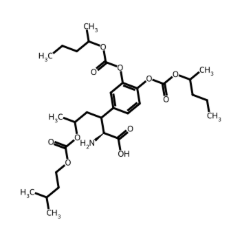 CCCC(C)OC(=O)Oc1ccc(C(CC(C)OC(=O)OCCC(C)C)[C@H](N)C(=O)O)cc1OC(=O)OC(C)CCC